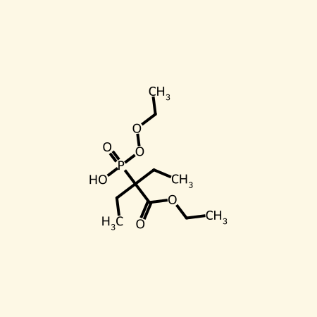 CCOOP(=O)(O)C(CC)(CC)C(=O)OCC